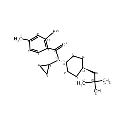 Cc1ccc(C(=O)N(C2CC2)[C@H]2CC[C@H](CC(C)(C)O)CC2)c(F)c1